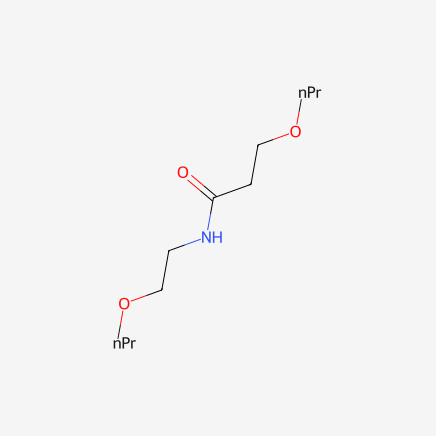 CCCOCCNC(=O)CCOCCC